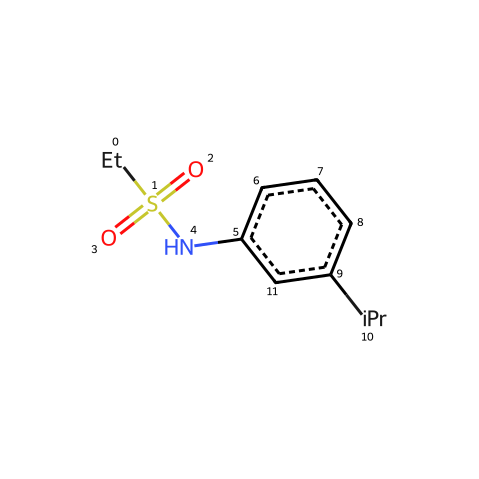 CCS(=O)(=O)Nc1cccc(C(C)C)c1